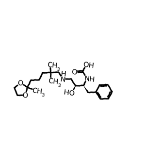 CC(C)(CCCC1(C)OCCO1)CNC[C@H](O)[C@H](Cc1ccccc1)NC(=O)O